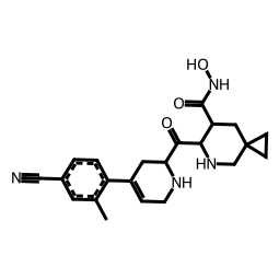 Cc1cc(C#N)ccc1C1=CCNC(C(=O)C2NCC3(CC3)CC2C(=O)NO)C1